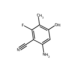 Cc1c(O)cc(N)c(C#N)c1F